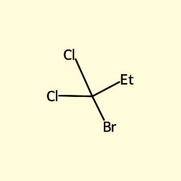 CCC(Cl)(Cl)Br